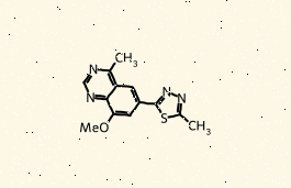 COc1cc(-c2nnc(C)s2)cc2c(C)ncnc12